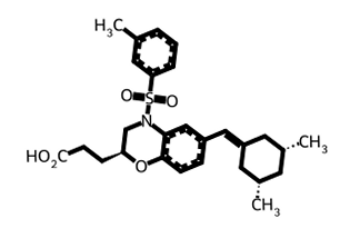 Cc1cccc(S(=O)(=O)N2C[C@H](CCC(=O)O)Oc3ccc(/C=C4\C[C@@H](C)C[C@@H](C)C4)cc32)c1